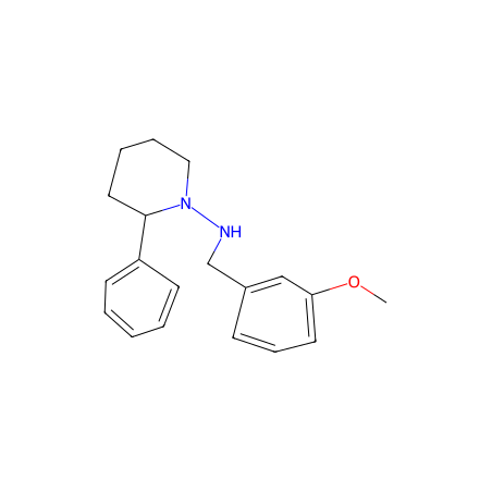 COc1cccc(CNN2CCCCC2c2ccccc2)c1